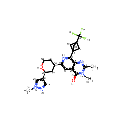 Cc1nc2c(C34CC(C(F)(F)F)(C3)C4)nc([C@@H]3CCO[C@H](c4cnn(C)c4)C3)cc2c(=O)n1C